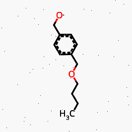 CCCCOCc1ccc(C[O])cc1